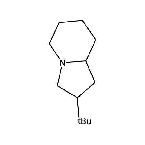 CC(C)(C)C1CC2CCCCN2C1